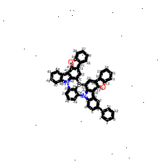 c1ccc(-c2ccc3c(c2)c2c4oc5ccccc5c4cc4c2n3-c2cccc3c2B4c2cc4c5ccccc5oc4c4c5ccccc5n-3c24)cc1